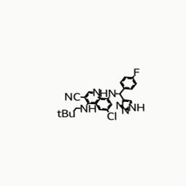 CC(C)(C)CNc1c(C#N)cnc2c(N[C@@H](c3ccc(F)cc3)c3c[nH]nn3)cc(Cl)cc12